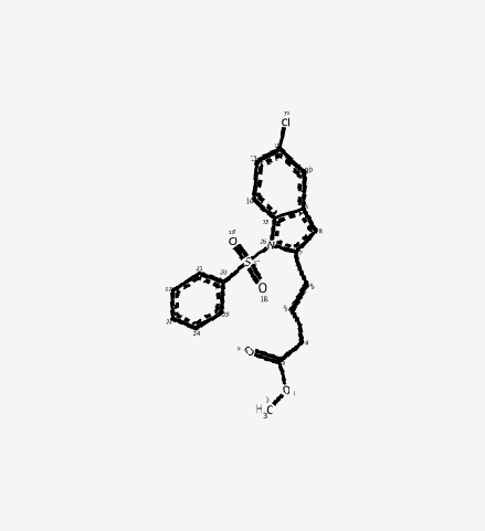 COC(=O)CCCc1cc2cc(Cl)ccc2n1S(=O)(=O)c1ccccc1